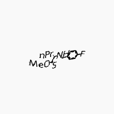 CCC[C@H](NCc1ccc(F)cc1)C(=S)OC